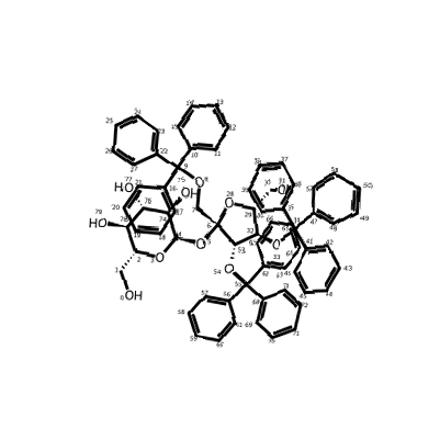 OC[C@H]1O[C@H](O[C@]2(COC(c3ccccc3)(c3ccccc3)c3ccccc3)O[C@H](CO)[C@@H](OC(c3ccccc3)(c3ccccc3)c3ccccc3)[C@@H]2OC(c2ccccc2)(c2ccccc2)c2ccccc2)[C@H](O)[C@@H](O)[C@@H]1O